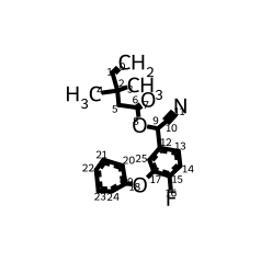 C=CC(C)(C)CC(=O)OC(C#N)c1ccc(F)c(Oc2ccccc2)c1